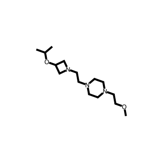 COCCN1CCN(CCN2CC(OC(C)C)C2)CC1